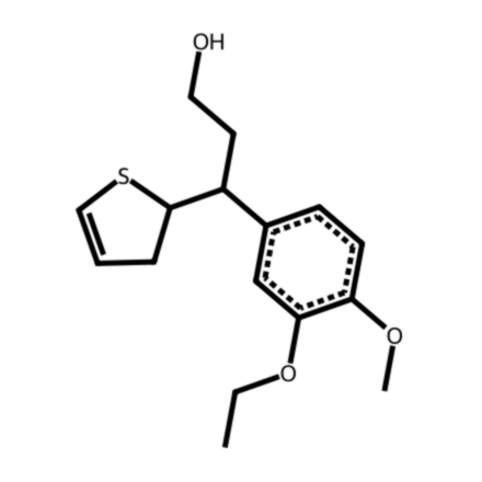 CCOc1cc(C(CCO)C2CC=CS2)ccc1OC